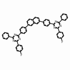 Fc1ccc(-c2nc(-c3ccccc3)nc(-c3ccc(-c4ccc5ccc(-c6ccc(-c7nc(-c8ccccc8)nc(-c8ccc(F)cc8)n7)cc6)cc5c4)cc3)n2)cc1